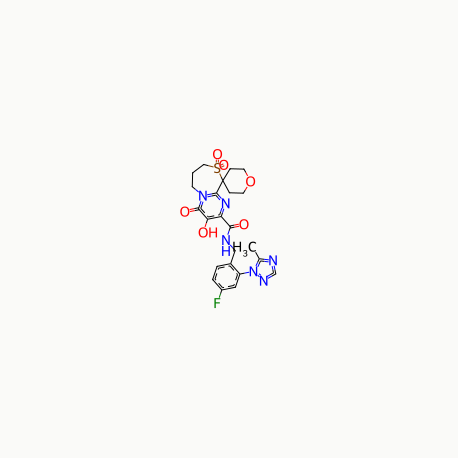 Cc1ncnn1-c1cc(F)ccc1CNC(=O)c1nc2n(c(=O)c1O)CCCS(=O)(=O)C21CCOCC1